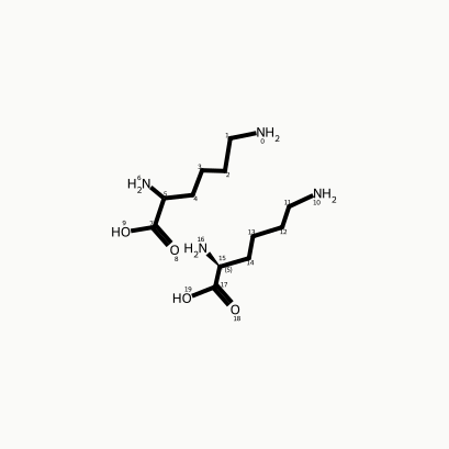 NCCCCC(N)C(=O)O.NCCCC[C@H](N)C(=O)O